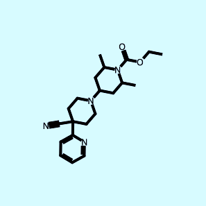 CCOC(=O)N1C(C)CC(N2CCC(C#N)(c3ccccn3)CC2)CC1C